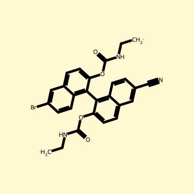 [CH2]CNC(=O)Oc1ccc2cc(Br)ccc2c1-c1c(OC(=O)NC[CH2])ccc2cc(C#N)ccc12